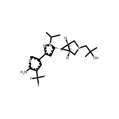 CC(C)n1nc(-c2cnc(N)c(C(F)(F)F)c2)cc1[C@@H]1[C@@H]2CN(CC(C)(C)O)C[C@@H]21